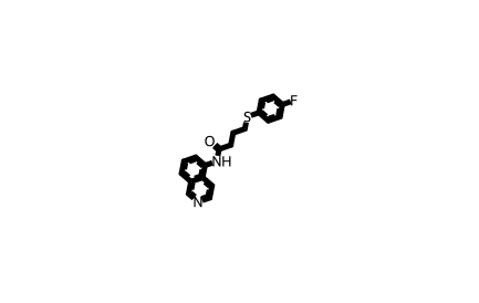 O=C(CCCSc1ccc(F)cc1)Nc1cccc2cnccc12